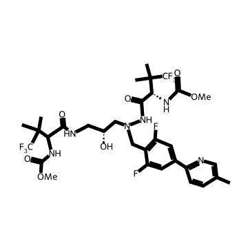 COC(=O)NC(C(=O)NC[C@@H](O)CN(Cc1c(F)cc(-c2ccc(C)cn2)cc1F)NC(=O)[C@@H](NC(=O)OC)C(C)(C)C(F)(F)F)C(C)(C)C(F)(F)F